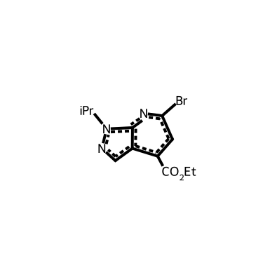 CCOC(=O)c1cc(Br)nc2c1cnn2C(C)C